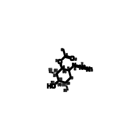 CC(=O)O[C@H]1C(N=[N+]=[N-])C[C@H](C)[C@@H](O)[C@@H]1C